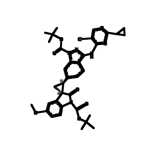 COc1ccc2c(c1)[C@]1(C[C@H]1c1ccc3c(Nc4nc(C5CC5)ncc4Cl)nn(C(=O)OC(C)(C)C)c3c1)C(=O)N2C(=O)OC(C)(C)C